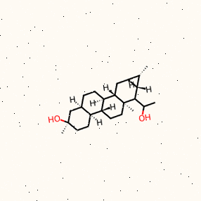 CC(O)C1[C@H]2[C@@H](C)[C@H]2C[C@H]2[C@@H]3CC[C@@H]4C[C@](C)(O)CC[C@@H]4[C@H]3CC[C@]12C